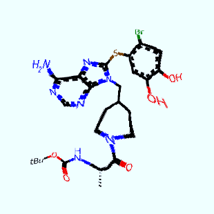 C[C@H](NC(=O)OC(C)(C)C)C(=O)N1CCC(Cn2c(Sc3cc(O)c(O)cc3Br)nc3c(N)ncnc32)CC1